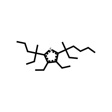 CCCCC(C)(CC)c1sc(C(C)(CC)CCC)c(CC)c1CC